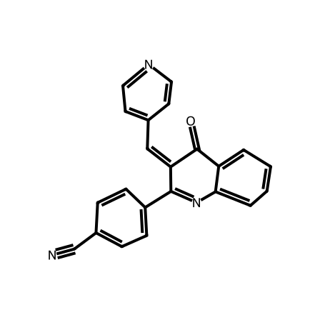 N#Cc1ccc(C2=Nc3ccccc3C(=O)/C2=C\c2ccncc2)cc1